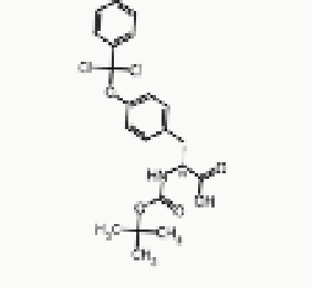 CC(C)(C)OC(=O)N[C@H](Cc1ccc(OC(Cl)(Cl)c2ccccc2)cc1)C(=O)O